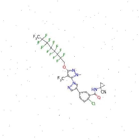 Cn1nc(OCC(F)(F)C(F)(F)C(F)(F)C(F)(F)C(F)(F)C(F)(F)C(F)(F)F)c(C(F)(F)F)c1-n1cc(-c2ccc(Cl)c(C(=O)NC3(C#N)CC3)c2)cn1